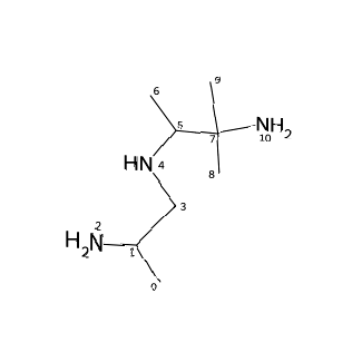 CC(N)CNC(C)C(C)(C)N